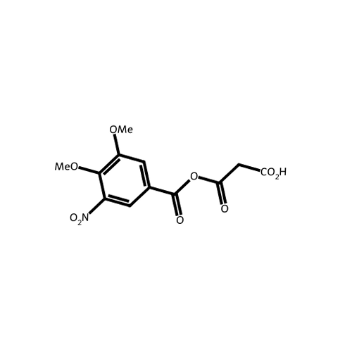 COc1cc(C(=O)OC(=O)CC(=O)O)cc([N+](=O)[O-])c1OC